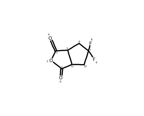 O=C1OC(=O)C2CC(F)(F)CC12